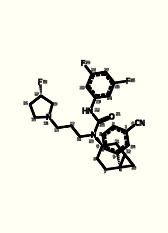 N#Cc1cccc([C@]23CC[C@@H](N(CCCN4CC[C@H](F)C4)C(=O)Nc4cc(F)cc(F)c4)CC2C3)c1